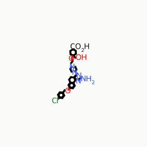 Nc1nc2c(c(N3CCN(CCOC4(CO)CCC(C(=O)O)CC4)CC3)n1)CCc1cc(OCc3ccc(Cl)cc3)ccc1-2